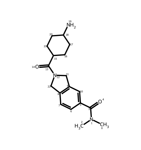 CN(C)C(=O)c1ccc2c(c1)CN(C(=O)C1CCC(N)CC1)C2